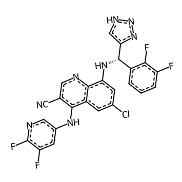 N#Cc1cnc2c(N[C@H](c3c[nH]nn3)c3cccc(F)c3F)cc(Cl)cc2c1Nc1cnc(F)c(F)c1